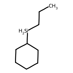 CCC[SiH2]C1CCCCC1